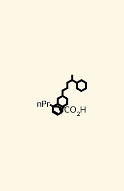 CCCC12C=CC(=CC1)C1(C(=O)O)CCC(CCCC(C)C3CCCCC3)CC21